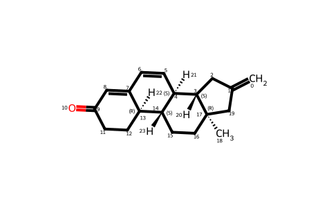 C=C1C[C@H]2[C@@H]3C=CC4=CC(=O)CC[C@@H]4[C@H]3CC[C@]2(C)C1